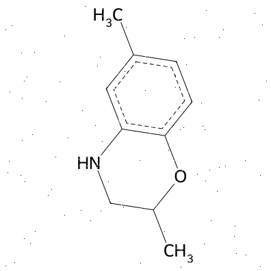 Cc1ccc2c(c1)NCC(C)O2